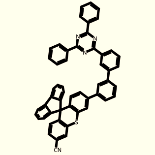 N#Cc1ccc2c(c1)Sc1cc(-c3cccc(-c4cccc(-c5nc(-c6ccccc6)nc(-c6ccccc6)n5)c4)c3)ccc1C21c2ccccc2-c2ccccc21